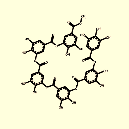 COC(=O)c1cc(O)c(O)c(OC(=O)c2cc(O)c(O)c(OC(=O)c3cc(O)c(O)c(OC(=O)c4cc(O)c(O)c(OC(=O)c5cc(O)c(O)c(OC(=O)c6cc(O)c(O)c(O)c6)c5)c4)c3)c2)c1